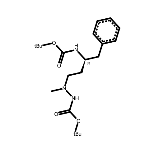 CN(CC[C@H](Cc1ccccc1)NC(=O)OC(C)(C)C)NC(=O)OC(C)(C)C